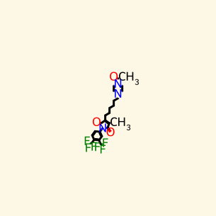 CC(=O)N1CCN(CCCCCCC2=C(C)C(=O)N(c3ccc(C(F)(F)F)c(C(F)(F)F)c3)C2=O)CC1